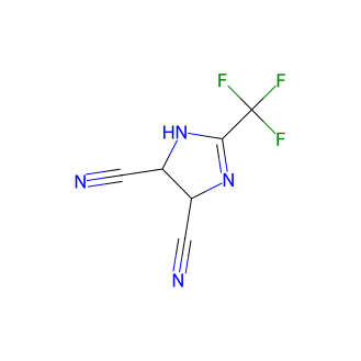 N#CC1N=C(C(F)(F)F)NC1C#N